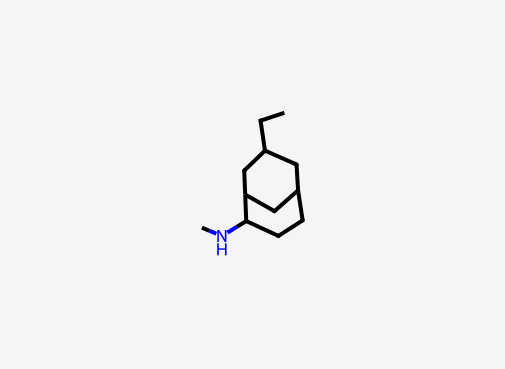 CCC1CC2CCC(NC)C(C1)C2